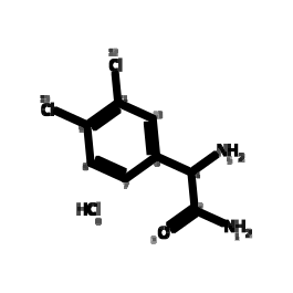 Cl.NC(=O)C(N)c1ccc(Cl)c(Cl)c1